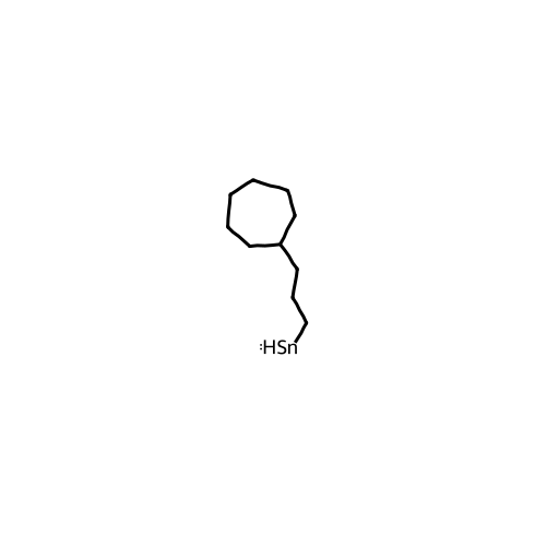 [SnH][CH2]CCC1CCCCCC1